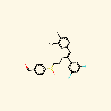 Cc1ccc(/C=C(\CCC[S+]([O-])c2ccc(C=O)cc2)c2cc(F)cc(F)c2)cc1C